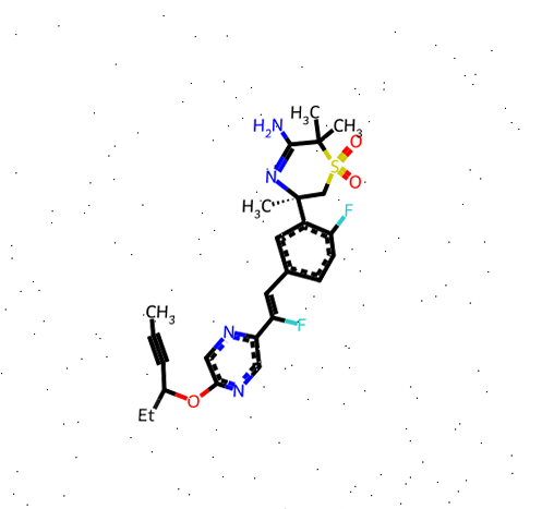 CC#CC(CC)Oc1cnc(/C(F)=C/c2ccc(F)c([C@]3(C)CS(=O)(=O)C(C)(C)C(N)=N3)c2)cn1